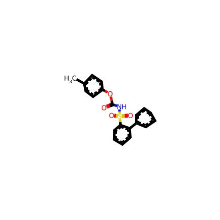 Cc1ccc(OC(=O)NS(=O)(=O)c2ccccc2-c2ccccc2)cc1